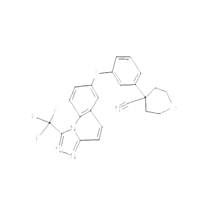 N#CC1(c2cccc(Sc3ccc4c(ccc5nnc(C(F)(F)F)n54)c3)c2)CCOCC1